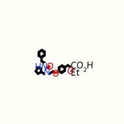 CCOC(Cc1ccc(OCCN(CC2CCCC2)C(=O)NCCc2ccccc2)cc1)C(=O)O